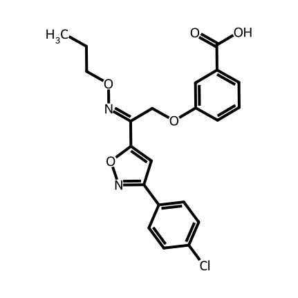 CCCO/N=C(\COc1cccc(C(=O)O)c1)c1cc(-c2ccc(Cl)cc2)no1